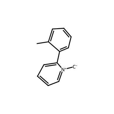 [CH2-][n+]1ccccc1-c1ccccc1C